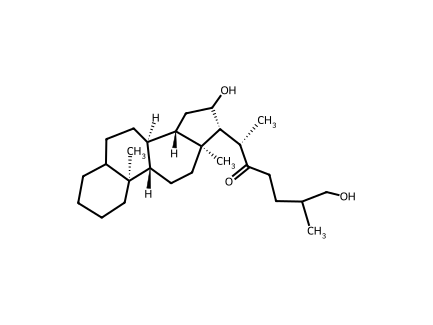 CC(CO)CCC(=O)[C@@H](C)[C@H]1C(O)C[C@H]2[C@@H]3CCC4CCCC[C@]4(C)[C@H]3CC[C@]12C